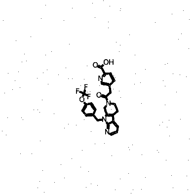 O=C(O)c1ccc(CC(=O)N2CCc3c(n(Cc4ccc(OC(F)(F)F)cc4)c4ncccc34)C2)cn1